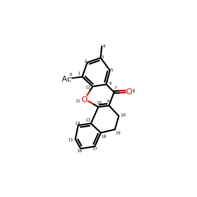 CC(=O)c1cc(C)cc2c(=O)c3c(oc12)-c1ccccc1CC3